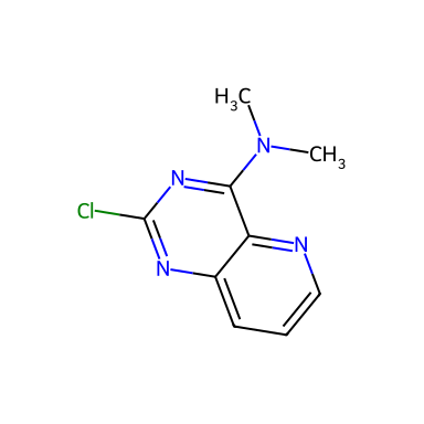 CN(C)c1nc(Cl)nc2cccnc12